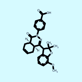 COc1cccc2c1OC(C)(C)C2C1=NN(c2ccc(C(=O)O)cc2)C(=O)[C@@H]2CC=CC[C@H]12